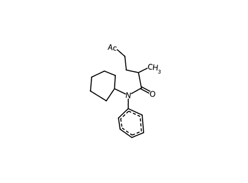 CC(=O)CCC(C)C(=O)N(c1ccccc1)C1CCCCC1